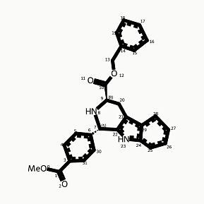 COC(=O)c1ccc([C@@H]2N[C@@H](C(=O)OCc3ccccc3)Cc3c2[nH]c2ccccc32)cc1